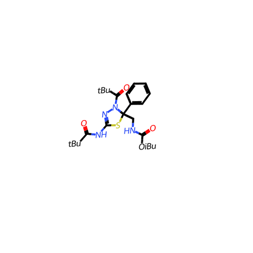 CC(C)COC(=O)NCC1(c2ccccc2)SC(NC(=O)C(C)(C)C)=NN1C(=O)C(C)(C)C